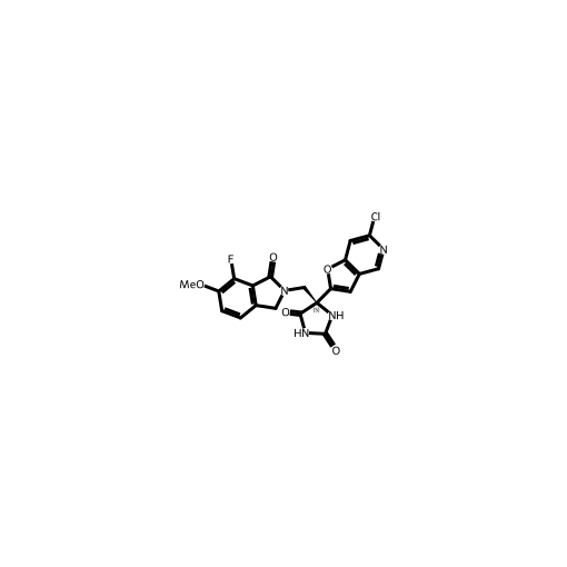 COc1ccc2c(c1F)C(=O)N(C[C@@]1(c3cc4cnc(Cl)cc4o3)NC(=O)NC1=O)C2